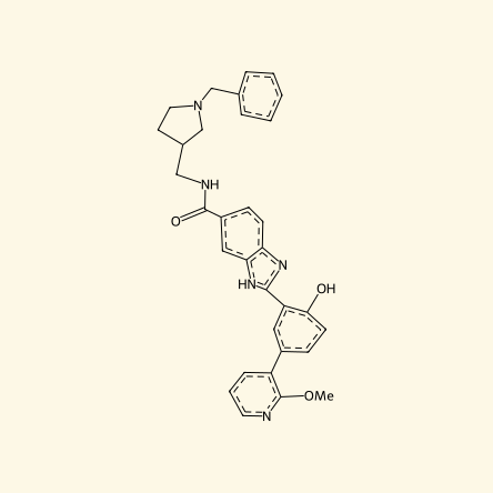 COc1ncccc1-c1ccc(O)c(-c2nc3ccc(C(=O)NCC4CCN(Cc5ccccc5)C4)cc3[nH]2)c1